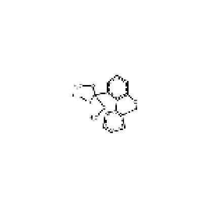 COC(OC)(OC)c1cccc2c1-c1ccccc1CO2